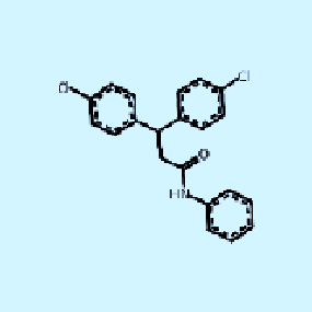 O=C(CC(c1ccc(Cl)cc1)c1ccc(Cl)cc1)Nc1ccccc1